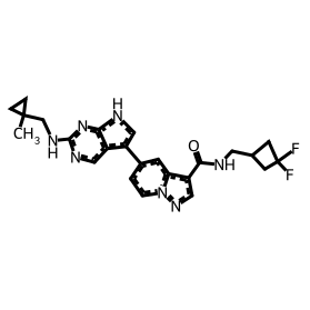 CC1(CNc2ncc3c(-c4ccn5ncc(C(=O)NCC6CC(F)(F)C6)c5c4)c[nH]c3n2)CC1